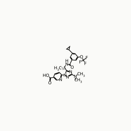 C[C@H](NC(=O)c1cc(OC(F)(F)F)cc(C2CC2)c1)c1nc(N(C)C)nn1-c1ccc(C(=O)O)cn1